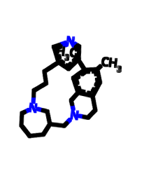 Cc1cc2c(cc1C)CN(CC1CCCCN(CCCc3cccnc3)C1)CC2